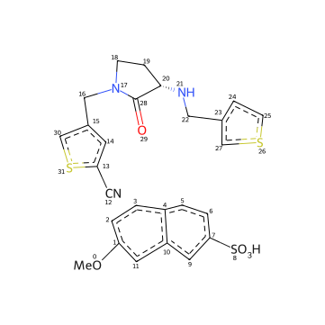 COc1ccc2ccc(S(=O)(=O)O)cc2c1.N#Cc1cc(CN2CC[C@H](NCc3ccsc3)C2=O)cs1